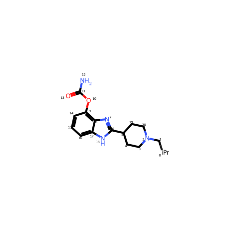 CC(C)CN1CCC(c2nc3c(OC(N)=O)cccc3[nH]2)CC1